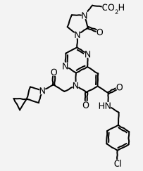 O=C(O)CN1CCN(c2cnc3c(cc(C(=O)NCc4ccc(Cl)cc4)c(=O)n3CC(=O)N3CC4(CC4)C3)n2)C1=O